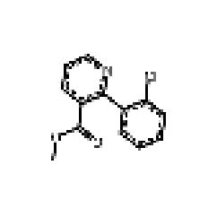 COC(=O)c1cccnc1-c1ccccc1Cl